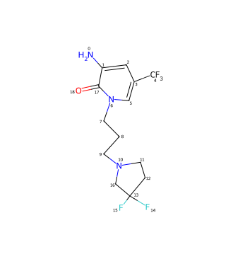 Nc1cc(C(F)(F)F)cn(CCCN2CCC(F)(F)C2)c1=O